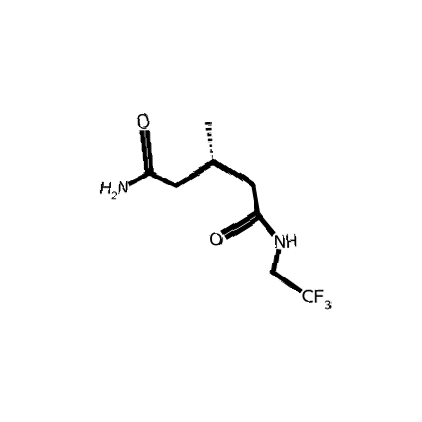 C[C@@H](CC(N)=O)CC(=O)NCC(F)(F)F